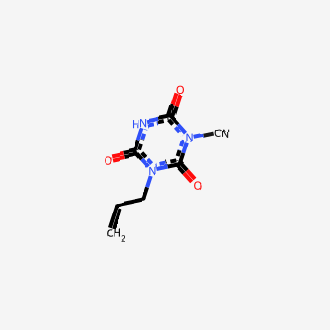 C=CCn1c(=O)[nH]c(=O)n(C#N)c1=O